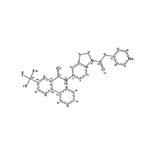 O=C(Nc1ccc2c(c1)CCN2C(=O)Cc1ccncc1)c1cc(C(F)(F)F)ccc1-c1ccccc1